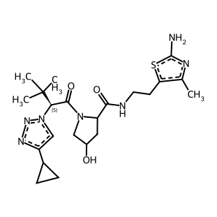 Cc1nc(N)sc1CCNC(=O)C1CC(O)CN1C(=O)[C@@H](n1cc(C2CC2)nn1)C(C)(C)C